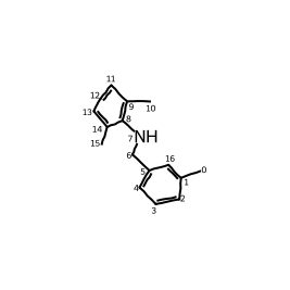 Cc1cccc(CNc2c(C)cccc2C)c1